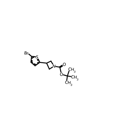 CC(C)(C)OC(=O)N1CC(c2ccc(Br)s2)C1